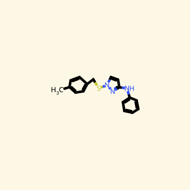 Cc1ccc(CSn2ccc(Nc3ccccc3)n2)cc1